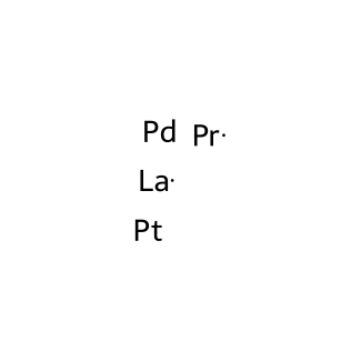 [La].[Pd].[Pr].[Pt]